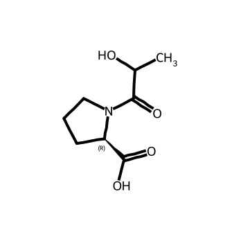 CC(O)C(=O)N1CCC[C@@H]1C(=O)O